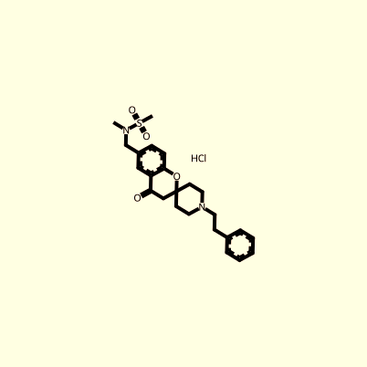 CN(Cc1ccc2c(c1)C(=O)CC1(CCN(CCc3ccccc3)CC1)O2)S(C)(=O)=O.Cl